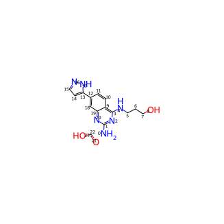 Nc1nc(NCCCO)c2ccc(-c3ccn[nH]3)cc2n1.O=CO